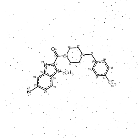 Cn1c(C(=O)N2CCN(Cc3ccc(C(F)(F)F)cc3)CC2)nc2cc(Br)ccc21